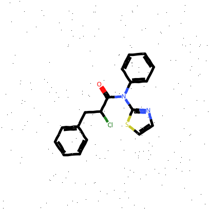 O=C(C(Cl)Cc1ccccc1)N(c1ccccc1)c1nccs1